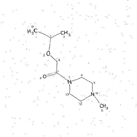 CC(C)OCC(=O)N1CCN(C)CC1